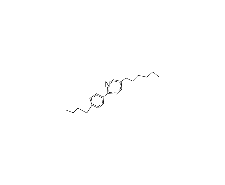 CCCCCCc1ccc(-c2ccc(CCCC)cc2)nc1